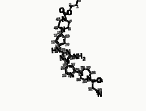 CCCOC(=O)N1CCN(c2ccc(Nc3nc(N)n(-c4ccnc(N5CCCN(C(=O)CC#N)CC5)c4)n3)cc2)CC1